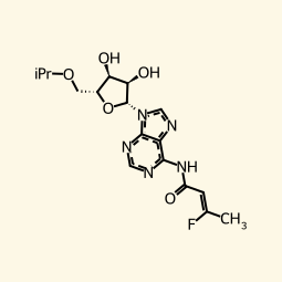 C/C(F)=C/C(=O)Nc1ncnc2c1ncn2[C@@H]1O[C@H](COC(C)C)[C@@H](O)[C@H]1O